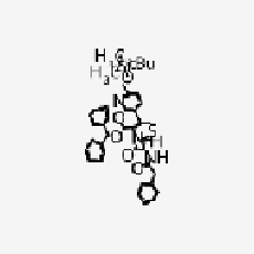 CC(C)(C)[Si](C)(C)OCc1ccc(C2=C(C(=O)OC(c3ccccc3)c3ccccc3)N3C(=O)[C@@H](NC(=O)Cc4ccccc4)[C@H]3SC2)cn1